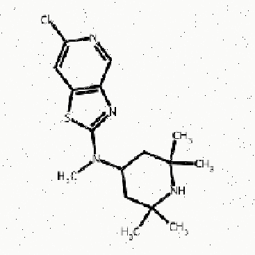 CN(c1nc2cnc(Cl)cc2s1)C1CC(C)(C)NC(C)(C)C1